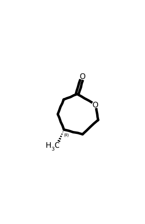 C[C@H]1CCOC(=O)CC1